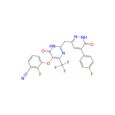 N#Cc1cccc(Oc2c(C(F)(F)F)nc(Cc3cc(-c4ccc(F)cc4)c(=O)[nH]n3)[nH]c2=O)c1F